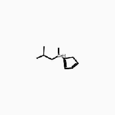 CC(C)[CH2][GeH]([CH3])[C]1=CC=CC1